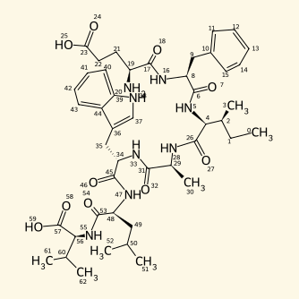 CC[C@H](C)[C@H](NC(=O)[C@H](Cc1ccccc1)NC(=O)[C@@H](N)CCC(=O)O)C(=O)N[C@@H](C)C(=O)N[C@@H](Cc1c[nH]c2ccccc12)C(=O)N[C@@H](CC(C)C)C(=O)N[C@H](C(=O)O)C(C)C